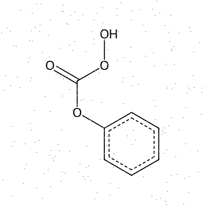 O=C(OO)Oc1ccccc1